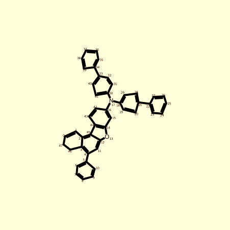 C1=Cc2c(c(-c3ccccc3)cc3oc4cc(N(c5ccc(-c6ccccc6)cc5)c5ccc(-c6ccccc6)cc5)ccc4c23)CC1